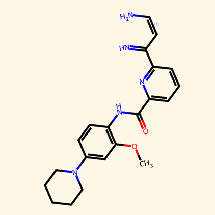 COc1cc(N2CCCCC2)ccc1NC(=O)c1cccc(C(=N)/C=C\N)n1